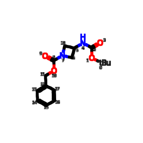 CC(C)(C)OC(=O)NC1CN(C(=O)OCc2ccccc2)C1